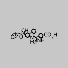 CN(C(=O)CN1CCOCC1)c1ccc(N/C(=C2\C(=O)Nc3cc(C(=O)O)ccc32)c2ccccc2)cc1